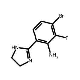 Nc1c(C2=NCCN2)ccc(Br)c1F